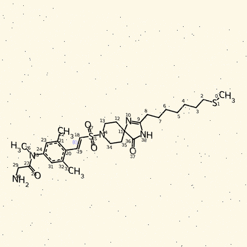 CSCCCCCCCC1=NC2(CCN(S(=O)(=O)/C=C/c3c(C)cc(N(C)C(=O)CN)cc3C)CC2)C(=O)N1